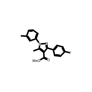 COC(=O)c1c(-c2ccc(F)cc2)nn(-c2cccc(C)c2)c1C